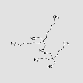 CCCCC(CO)(CO)CCC.CCCCCCC(CO)(CO)CCCCCC